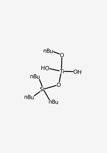 CCCC[O][Ti]([OH])([OH])[O][Si](CCCC)(CCCC)CCCC